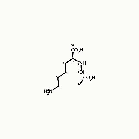 CC(=O)O.NCCCC[C@H](NO)C(=O)O